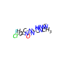 CC1Cn2cc(-c3ccnc(Nc4ccnn4C)n3)nc2C(=O)N1Cc1ccc(F)c(Cl)c1